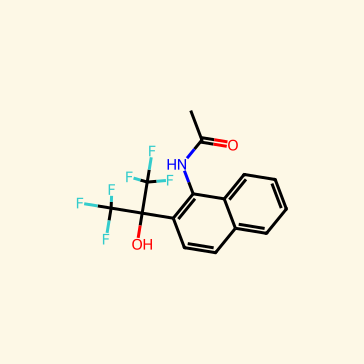 CC(=O)Nc1c(C(O)(C(F)(F)F)C(F)(F)F)ccc2ccccc12